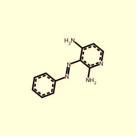 Nc1ccnc(N)c1N=Nc1ccccc1